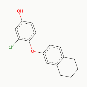 Oc1ccc(Oc2ccc3c(c2)CCCC3)c(Cl)c1